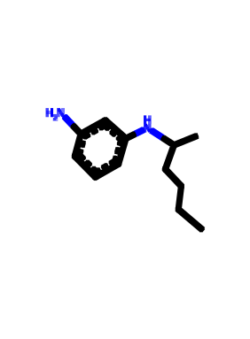 CCCCC(C)Nc1cccc(N)c1